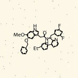 CCc1ccc(-c2cccnc2[C@H](Cc2cc(F)cc(F)c2)NC(=O)Cc2c[nH]c3cc(OC)c(OCc4ccccc4)cc23)cc1